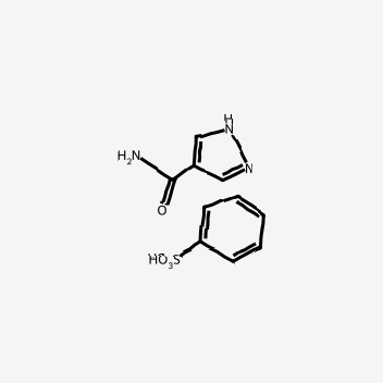 NC(=O)c1cn[nH]c1.O=S(=O)(O)c1ccccc1